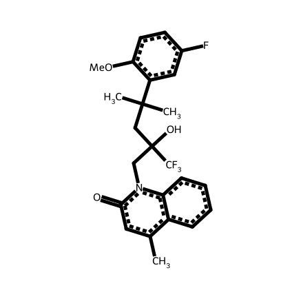 COc1ccc(F)cc1C(C)(C)CC(O)(Cn1c(=O)cc(C)c2ccccc21)C(F)(F)F